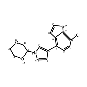 Clc1ccc(-c2cnn(C3COCCO3)c2)c2ccsc12